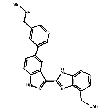 CCCCNCc1cncc(-c2cnc3[nH]nc(-c4nc5c(COC)cccc5[nH]4)c3c2)c1